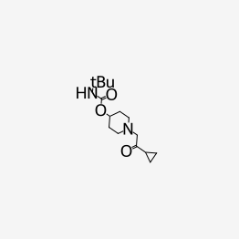 CC(C)(C)NC(=O)OC1CCN(CC(=O)C2CC2)CC1